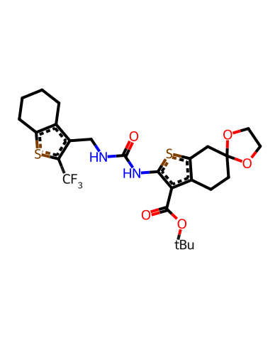 CC(C)(C)OC(=O)c1c(NC(=O)NCc2c(C(F)(F)F)sc3c2CCCC3)sc2c1CCC1(C2)OCCO1